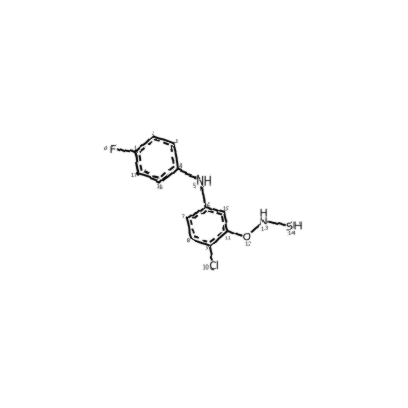 Fc1ccc(Nc2ccc(Cl)c(ONS)c2)cc1